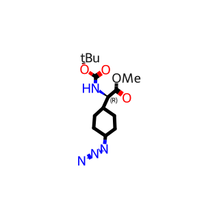 COC(=O)[C@H](NC(=O)OC(C)(C)C)C1CCC(N=[N+]=[N-])CC1